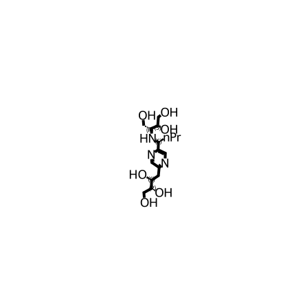 CCC[C@H](N[C@H](CO)[C@H](O)CO)c1cnc(C[C@H](O)[C@H](O)CO)cn1